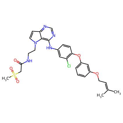 CC(C)=CCOc1cccc(Oc2ccc(Nc3ncnc4ccn(CCNC(=O)CS(C)(=O)=O)c34)cc2Cl)c1